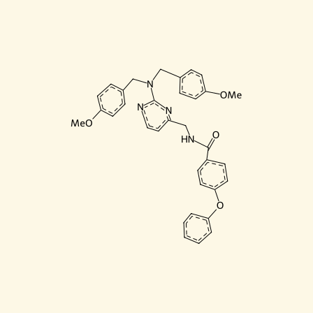 COc1ccc(CN(Cc2ccc(OC)cc2)c2nccc(CNC(=O)c3ccc(Oc4ccccc4)cc3)n2)cc1